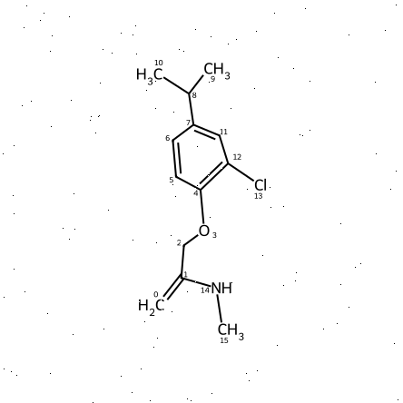 C=C(COc1ccc(C(C)C)cc1Cl)NC